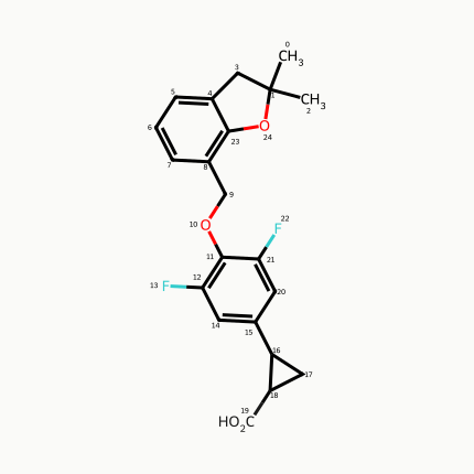 CC1(C)Cc2cccc(COc3c(F)cc(C4CC4C(=O)O)cc3F)c2O1